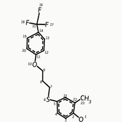 COc1ccc(SCCCOc2ccc(C(F)(F)F)cc2)cc1C